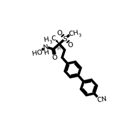 C[C@@](CCc1ccc(-c2ccc(C#N)cc2)cc1)(C(=O)NO)S(C)(=O)=O